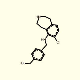 CCC(C)Cc1ccc(CNc2c(Cl)ccc3c2CCNCC3)cc1